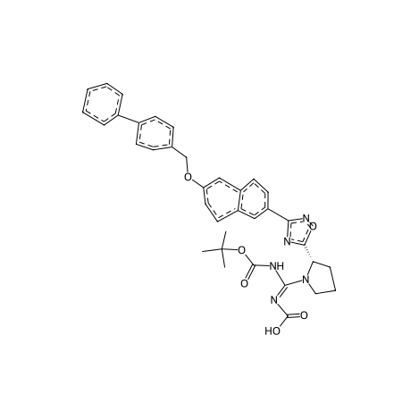 CC(C)(C)OC(=O)N/C(=N/C(=O)O)N1CCC[C@H]1c1nc(-c2ccc3cc(OCc4ccc(-c5ccccc5)cc4)ccc3c2)no1